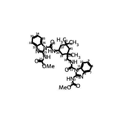 COC(=O)Nc1nc2ccccc2n1C(=O)NCC1(C)CC(NC(=O)n2c(NC(=O)OC)nc3ccccc32)CC(C)(C)C1